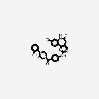 Cc1ccccc1N1CCN(C(=O)c2ccc(Nc3ncc4c(n3)-c3ccc(Cl)cc3NC(=O)C4)cc2)CC1